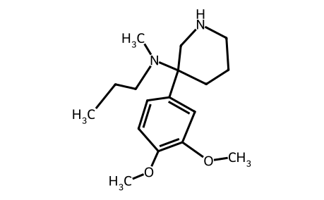 CCCN(C)C1(c2ccc(OC)c(OC)c2)CCCNC1